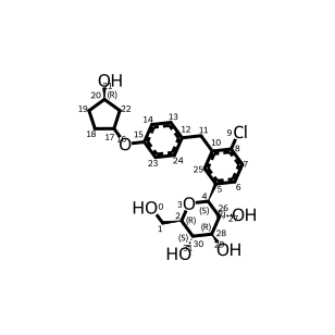 OC[C@H]1O[C@@H](c2ccc(Cl)c(Cc3ccc(OC4CC[C@@H](O)C4)cc3)c2)[C@H](O)[C@@H](O)[C@@H]1O